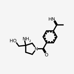 CC(=N)c1ccc(C(=O)N2CCC(N)(CO)C2)cc1